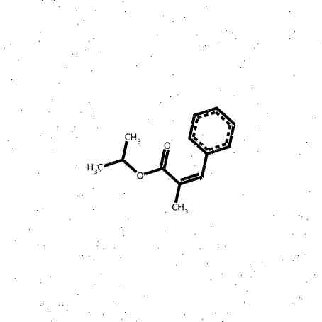 CC(=Cc1ccccc1)C(=O)OC(C)C